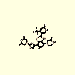 CC1CN(c2nc(-c3c(F)cc(N4CCN(C)C(C)C4)c(NC(=O)c4c[nH]c(=O)cc4C(F)(F)F)c3F)cs2)CC(C)O1